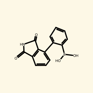 O=C1NC(=O)c2c1cccc2-c1ccccc1B(O)O